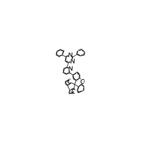 c1ccc(-c2cc(-c3cccc(-c4ccc5c(c4)C4(c6ccccc6O5)c5ccccc5-c5ccccc54)n3)nc(-c3ccccc3)n2)cc1